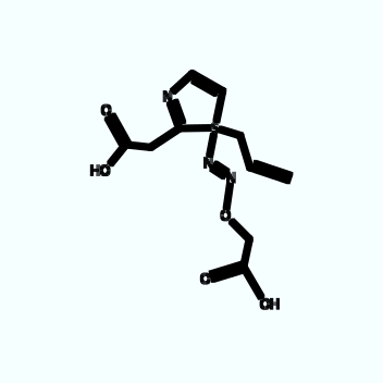 C=CCS1(N=NOCC(=O)O)C=CN=C1CC(=O)O